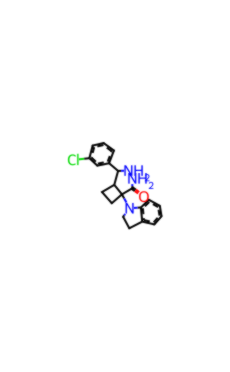 NC(=O)C1(N2CCc3ccccc32)CCC1C(N)c1cccc(Cl)c1